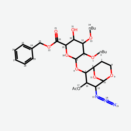 CCCCOC1C(OC2C3CCOC(O3)C(N=[N+]=[N-])C2OC(C)=O)OC(C(=O)OCc2ccccc2)C(O)C1OCCCC